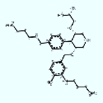 CC[C@@H](O)CO[C@@H]1CNC[C@H](OCc2ccc(O)c(NCCCOC)c2)C1c1ccc(COCCCOC)cc1